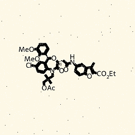 CCOC(=O)c1oc2ccc(NC(=O)C[C@H]3O[C@H](c4cccc(OC)c4OC)c4cc(Cl)ccc4N(CC(C)(C)COC(C)=O)C3=O)cc2c1C